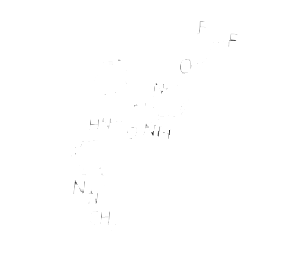 Cn1cc2cc(NC(=O)/C(=C3/N=C(OCC(F)F)C=CC3=N)c3ccccc3)ccc2n1